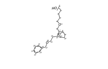 O=C(O)CCCCOCC1C2CCC(O2)C1CCOCc1ccccc1